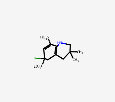 CCOC(=O)C1(F)C=C(S(=O)(=O)O)C2=C(CC(C)(C)CN2)C1